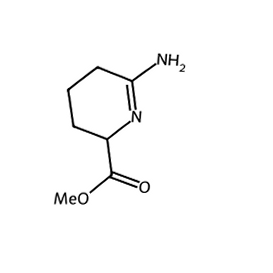 COC(=O)C1CCCC(N)=N1